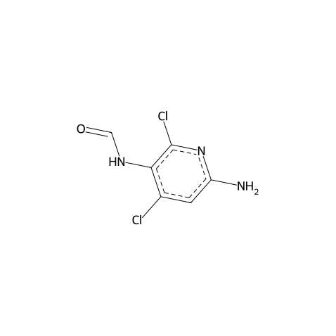 Nc1cc(Cl)c(NC=O)c(Cl)n1